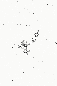 CC1=C(C(=O)NCCCN2CCC(c3ccc(F)cc3)CC2)[C@H](c2ccc(F)c(F)c2)CC(=O)N1